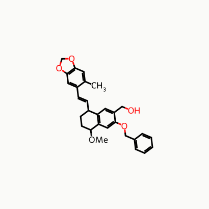 COC1CCC(/C=C/c2cc3c(cc2C)OCO3)c2cc(CO)c(OCc3ccccc3)cc21